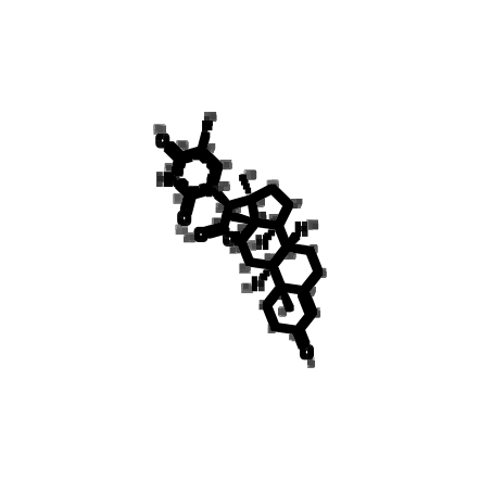 C[C@]12CCC(=O)C=C1CC[C@@H]1[C@@H]2CC[C@@]2(C)[C@H]1CC[C@]2(C)[C@@H](C(=O)O)n1cc(F)c(=O)[nH]c1=O